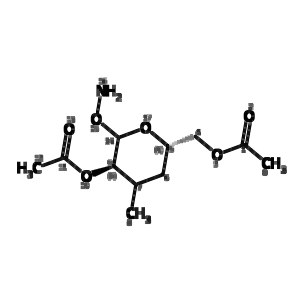 CC(=O)OC[C@@H]1CC(C)[C@@H](OC(C)=O)C(ON)O1